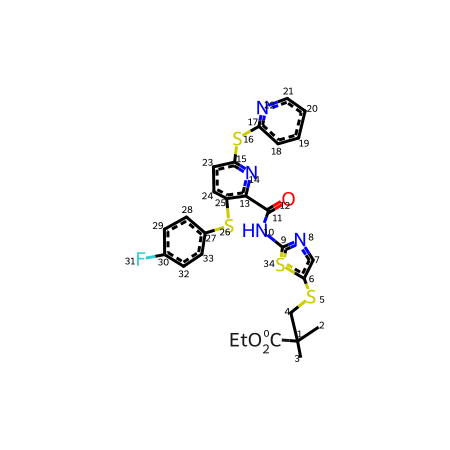 CCOC(=O)C(C)(C)CSc1cnc(NC(=O)c2nc(Sc3ccccn3)ccc2Sc2ccc(F)cc2)s1